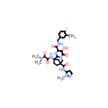 Cc1cc(CNC(=O)c2nc3n(c(=O)c2O)CC2(C(=O)Nc4ccnn4C)CCC3(NC(=O)C(=O)N(C)C)CC2)ccc1F